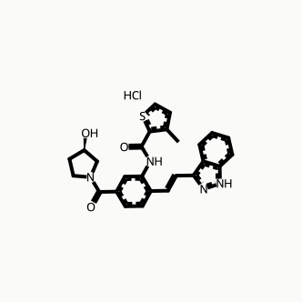 Cc1ccsc1C(=O)Nc1cc(C(=O)N2CC[C@@H](O)C2)ccc1/C=C/c1n[nH]c2ccccc12.Cl